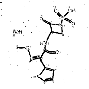 CON=C(C(=O)NC1CN(S(=O)(=O)O)C1=O)c1cccs1.[NaH]